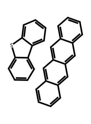 c1ccc2c(c1)sc1ccccc12.c1ccc2cc3cc4ccccc4cc3cc2c1